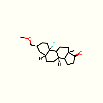 COC[C@H]1CC[C@]2(F)C3CC[C@]4(C)C(=O)CCC4[C@@H]3CC[C@@H]2C1